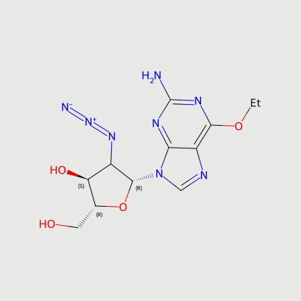 CCOc1nc(N)nc2c1ncn2[C@@H]1O[C@H](CO)[C@@H](O)C1N=[N+]=[N-]